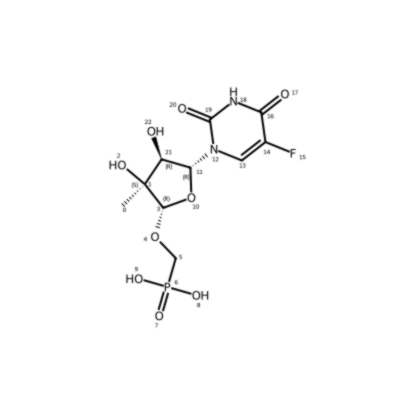 C[C@@]1(O)[C@@H](OCP(=O)(O)O)O[C@@H](n2cc(F)c(=O)[nH]c2=O)[C@@H]1O